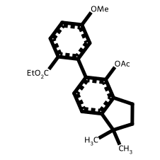 CCOC(=O)c1ccc(OC)cc1-c1ccc2c(c1OC(C)=O)CCC2(C)C